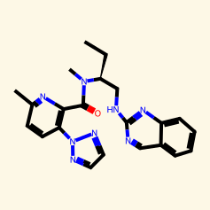 CC[C@@H](CNc1ncc2ccccc2n1)N(C)C(=O)c1nc(C)ccc1-n1nccn1